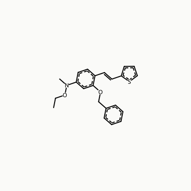 CCON(C)c1ccc(/C=C/c2cccs2)c(OCc2ccccc2)c1